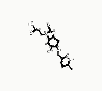 Cc1ccc(COc2cc3oc(=O)n(CCC(=O)O)c3cc2Cl)nn1